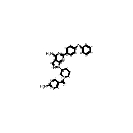 Nc1ncc(C(=O)N2CCC[C@@H](n3ncc4c(N)nc(-c5ccc(Oc6ccccc6)cc5)nc43)C2)cn1